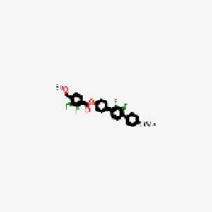 CCOCc1ccc(C(=O)OC2CCC(c3ccc(C4CCC(OC)CC4)c(F)c3F)CC2)c(F)c1F